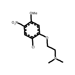 COc1cc(OCCN(C)C)c(Cl)cc1[N+](=O)[O-]